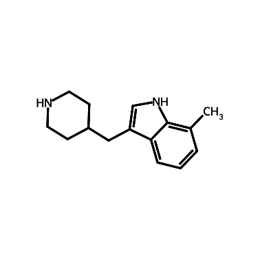 Cc1cccc2c(CC3CCNCC3)c[nH]c12